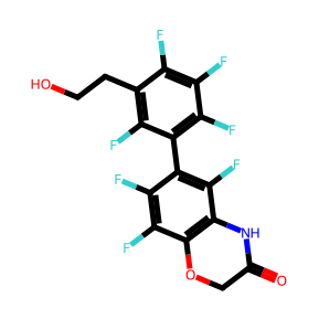 O=C1COc2c(F)c(F)c(-c3c(F)c(F)c(F)c(CCO)c3F)c(F)c2N1